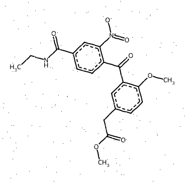 CCNC(=O)c1ccc(C(=O)c2cc(CC(=O)OC)ccc2OC)c([N+](=O)[O-])c1